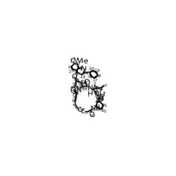 C=C[C@@H]1C[C@@]12NC(=O)[C@@H]1C[C@@H](Oc3cc(-c4ccccc4)nc4cc(OC)ccc34)CN1C(=O)CCCCCCCC(=O)Nc1ccccc1S(=O)(=O)NC2=O